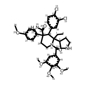 CCC1(C2CCNC2)C(c2ccc(Cl)c(Cl)c2)C(C(N)=O)(c2ccc(OC)cc2)CCN1C(=O)c1cc(OC)c(OC)c(OC)c1